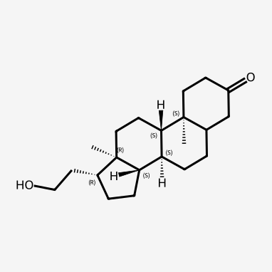 C[C@]12CC[C@H]3[C@@H](CCC4CC(=O)CC[C@@]43C)[C@@H]1CC[C@@H]2CCO